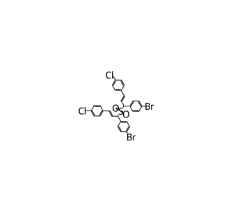 O=S(=O)(C(/C=C/c1ccc(Cl)cc1)c1ccc(Br)cc1)C(/C=C/c1ccc(Cl)cc1)c1ccc(Br)cc1